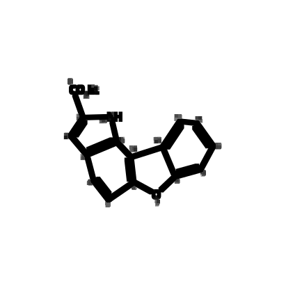 CCOC(=O)c1cc2ccc3oc4ccccc4c3c2[nH]1